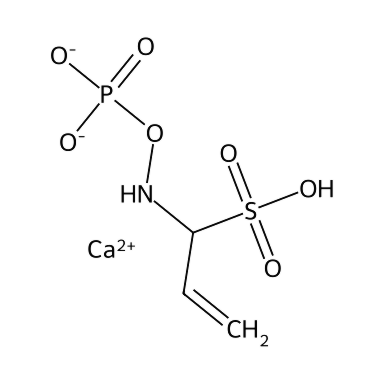 C=CC(NOP(=O)([O-])[O-])S(=O)(=O)O.[Ca+2]